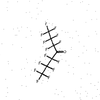 O=C(C(F)(F)C(F)(F)C(F)(F)F)C(F)(F)C(F)(F)C(F)(F)F